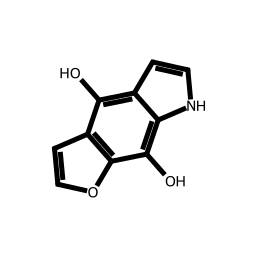 Oc1c2cc[nH]c2c(O)c2occc12